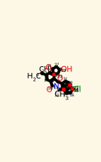 C=C(C)c1ccc2c(c1)C(=O)N([C@@H](C)c1ccc(Cl)cc1)C2(OC1CC(=O)CC1O)c1ccc(Cl)cc1